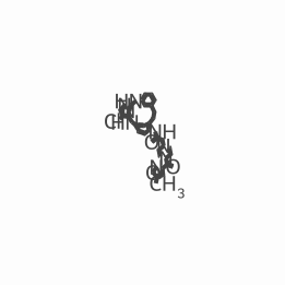 Cc1cc(C(=O)N2CCN(CC(=O)Nc3ccc4cc3CCc3cccc(c3)Nc3ncc(Cl)c(n3)N4)CC2)no1